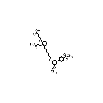 CCOc1cc(OCCCCCCc2cccc(OCCCC(=O)O)c2CCC(=O)O)cc(-c2ccc(S(C)(=O)=O)cc2)c1